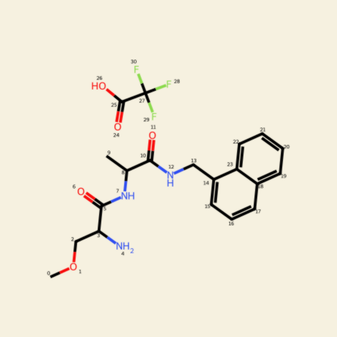 COCC(N)C(=O)NC(C)C(=O)NCc1cccc2ccccc12.O=C(O)C(F)(F)F